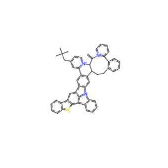 C=C1C2C(CCc3ccccc3-c3cccc[n+]31)c1cc3c(cc1-c1cc(CC(C)(C)C)cc[n+]12)c1cc2c4ccccc4sc2c2c4ccccc4n3c12